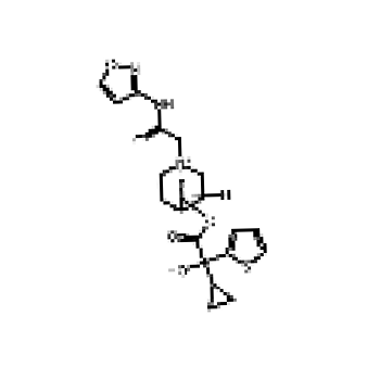 O=C(C[N+]12CCC(CC1)[C@@H](OC(=O)C(O)(c1cccs1)C1CC1)C2)Nc1ccon1